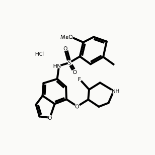 COc1ccc(C)cc1S(=O)(=O)Nc1cc(OC2CCNCC2F)c2occc2c1.Cl